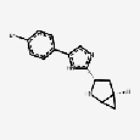 Brc1ccc(-c2cnc([C@@H]3C[C@H]4CC4N3)[nH]2)cc1